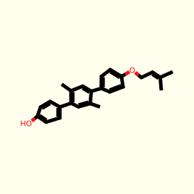 CC(C)=CCOc1ccc(-c2cc(C)c(-c3ccc(O)cc3)cc2C)cc1